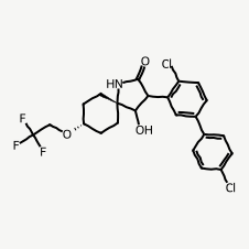 O=C1N[C@]2(CC[C@@H](OCC(F)(F)F)CC2)C(O)C1c1cc(-c2ccc(Cl)cc2)ccc1Cl